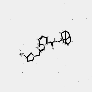 C[C@@H]1CCN(Cc2cn3c(C(=O)NCC45CC6CC(CC(C6)C4)C5)cccc3n2)C1